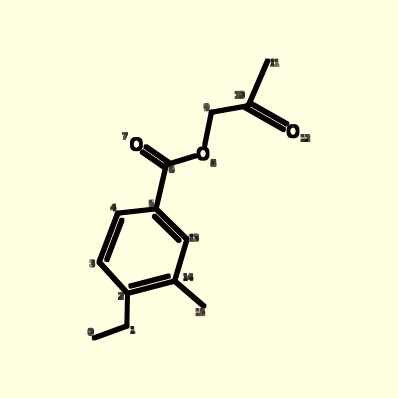 CCc1ccc(C(=O)OCC(C)=O)cc1C